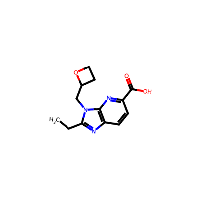 CCc1nc2ccc(C(=O)O)nc2n1CC1CCO1